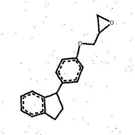 c1ccc2c(c1)CCC2c1ccc(OCC2CO2)cc1